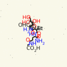 CCC(C(=O)NC(CCC(=O)NCC(=O)O)C(N)=O)C(O[C@@H]([C@H](O)[C@H](O)CO)[C@H](C=O)NC(C)=O)C(N)=O